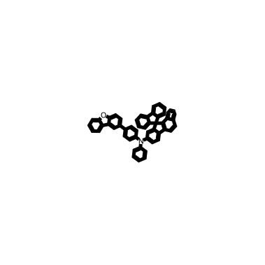 c1ccc(N(c2ccc(-c3ccc4oc5ccccc5c4c3)cc2)c2ccc3c(c2)C2(c4ccccc4-c4ccccc42)c2c-3ccc3ccccc23)cc1